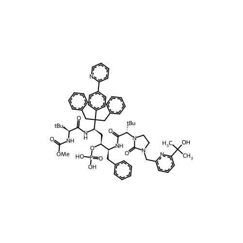 COC(=O)N[C@H](C(=O)N[C@H](C[C@H](OP(=O)(O)O)[C@H](Cc1ccccc1)NC(=O)[C@@H](N1CCN(Cc2cccc(C(C)(C)O)n2)C1=O)C(C)(C)C)C(Cc1ccccc1)(Cc1ccccc1)c1ccc(-c2ccccn2)cc1)C(C)(C)C